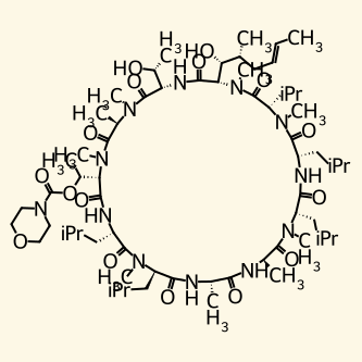 C/C=C/C[C@@H](C)[C@@H](O)[C@H]1C(=O)N[C@@H]([C@@H](C)O)C(=O)N(C)[C@H](C)C(=O)N(C)[C@@H](C(C)OC(=O)N2CCOCC2)C(=O)N[C@@H](CC(C)C)C(=O)N(C)[C@H](CC(C)C)C(=O)N[C@@H](C)C(=O)N[C@H](C)C(=O)N(C)[C@@H](CC(C)C)C(=O)N[C@@H](CC(C)C)C(=O)N(C)[C@@H](C(C)C)C(=O)N1C